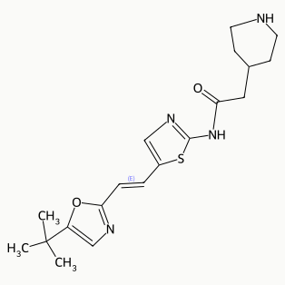 CC(C)(C)c1cnc(/C=C/c2cnc(NC(=O)CC3CCNCC3)s2)o1